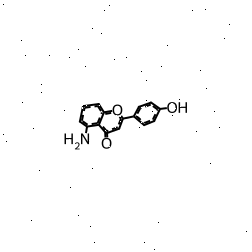 Nc1cccc2oc(-c3ccc(O)cc3)cc(=O)c12